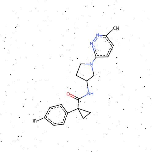 CC(C)c1ccc(C2(C(=O)NC3CCN(c4ccc(C#N)nn4)C3)CC2)cc1